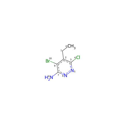 CCc1c(Cl)nnc(N)c1Br